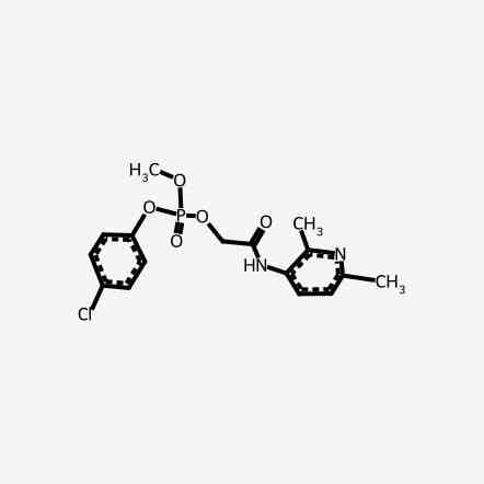 COP(=O)(OCC(=O)Nc1ccc(C)nc1C)Oc1ccc(Cl)cc1